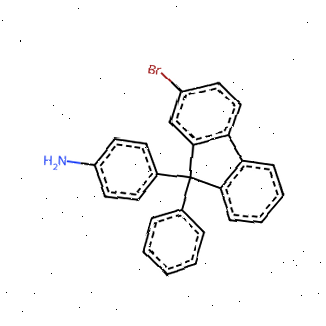 Nc1ccc(C2(c3ccccc3)c3ccccc3-c3ccc(Br)cc32)cc1